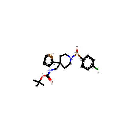 CC(C)(C)OC(=O)NCC1(c2cccs2)CCN([S+]([O-])c2ccc(F)cc2)CC1